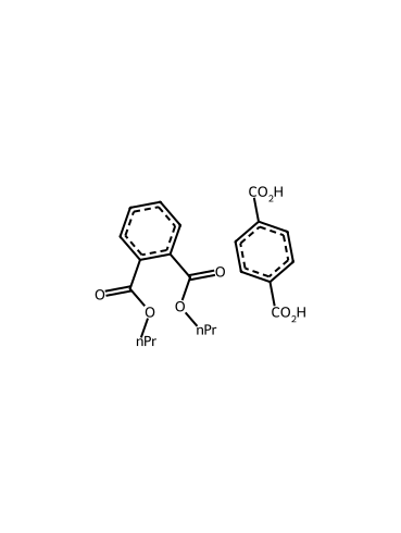 CCCOC(=O)c1ccccc1C(=O)OCCC.O=C(O)c1ccc(C(=O)O)cc1